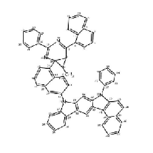 CC1C2C(c3cccc4ccccc34)=NC(c3ccccc3)=NC12c1cccc2cc(-n3c4ccccc4c4cc5c6c7ccccc7ccc6n(-c6ccccc6)c5cc43)ccc12